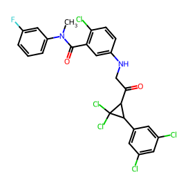 CN(C(=O)c1cc(NCC(=O)C2C(c3cc(Cl)cc(Cl)c3)C2(Cl)Cl)ccc1Cl)c1cccc(F)c1